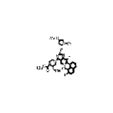 CO[C@@H]1C[C@@H](COc2nc(N3CCN(C(=O)OC(C)(C)C)[C@@H](CC#N)C3)c3cnc(-c4cccc5ccc(F)c(Cl)c45)c(F)c3n2)N(C(C)C)C1